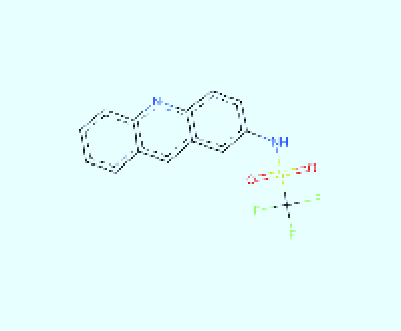 O=S(=O)(Nc1ccc2nc3ccccc3cc2c1)C(F)(F)F